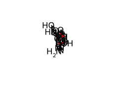 Nc1ncnc2c1ncn2[C@@H]1O[C@@H]2COP(=O)(SCc3ccc(NC(=O)c4ccc(O)cc4)cc3)O[C@@H]3[C@H](F)[C@@H](COP(=O)(O)O[C@H]2[C@H]1F)O[C@H]3n1ccc(=O)[nH]c1=O